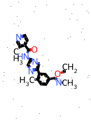 C=CO/C(=N\C)c1ccc(C)c(-c2cnc(NC(=O)c3ccncc3C)cn2)c1